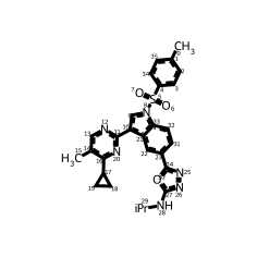 Cc1ccc(S(=O)(=O)n2cc(-c3ncc(C)c(C4CC4)n3)c3cc(-c4nnc(NC(C)C)o4)ccc32)cc1